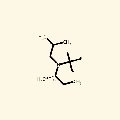 CC[C@H](C)N(CC(C)C)C(F)(F)F